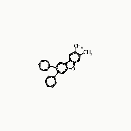 Cc1cc2oc3cc(-c4ccccc4)c(-c4ccccc4)cc3c2cc1C